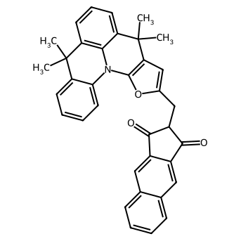 CC1(C)c2ccccc2N2c3oc(CC4C(=O)c5cc6ccccc6cc5C4=O)cc3C(C)(C)c3cccc1c32